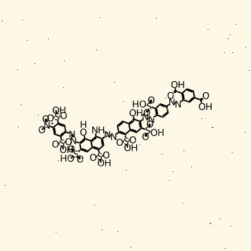 Nc1c(N=Nc2ccc3c(O)c(N=Nc4ccc(N=Nc5cc(C(=O)O)ccc5C(=O)O)cc4S(=O)(=O)O)c(S(=O)(=O)O)cc3c2S(=O)(=O)O)cc(S(=O)(=O)O)c2cc(S(=O)(=O)O)c(N=Nc3cc(S(=O)(=O)O)c([N+](=O)[O-])cc3S(=O)(=O)O)c(O)c12